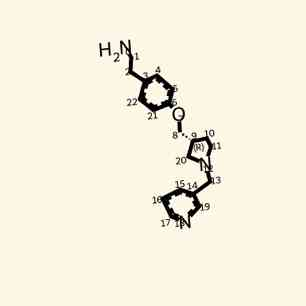 NCCc1ccc(OC[C@@H]2CCN(Cc3cccnc3)C2)cc1